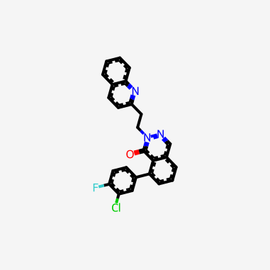 O=c1c2c(-c3ccc(F)c(Cl)c3)cccc2cnn1CCc1ccc2ccccc2n1